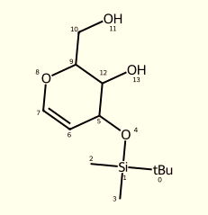 CC(C)(C)[Si](C)(C)OC1C=COC(CO)C1O